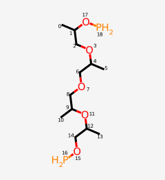 CC(COC(C)COCC(C)OC(C)COP)OP